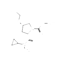 CC(C)CS[C@@H]1C[C@@H](C(=O)N(C#N)C2CC2)N(C(=O)OC(C)(C)C)C1